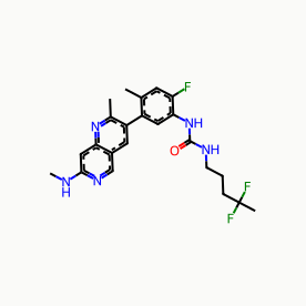 CNc1cc2nc(C)c(-c3cc(NC(=O)NCCCC(C)(F)F)c(F)cc3C)cc2cn1